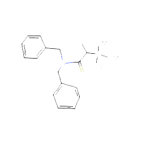 [CH2]CC(C(=S)N(Cc1ccccc1)Cc1ccccc1)[Si](OC)(OC)OC